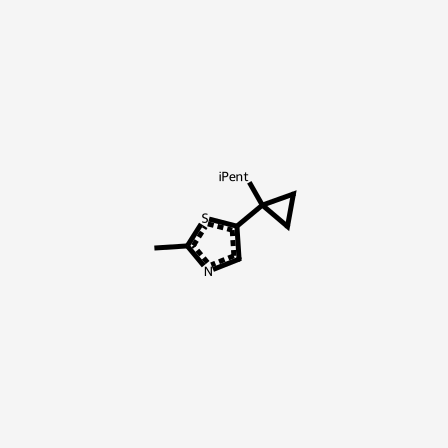 CCCC(C)C1(c2cnc(C)s2)CC1